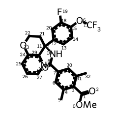 COC(=O)c1c(C)cc(C(=O)N[C@]2(c3ccc(OC(F)(F)F)c(F)c3)CCOc3cccnc32)cc1C